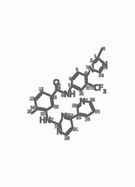 Cc1cn(-c2ccc(NC(=O)c3ccc(C)c(Nc4nccc(-c5cccnc5)n4)c3)cc2C(F)(F)F)cn1